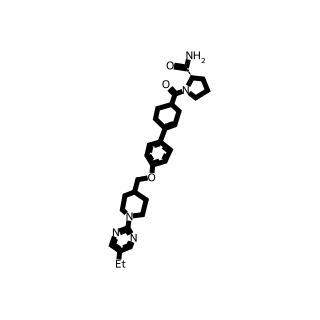 CCc1cnc(N2CCC(COc3ccc(C4=CCC(C(=O)N5CCC[C@H]5C(N)=O)CC4)cc3)CC2)nc1